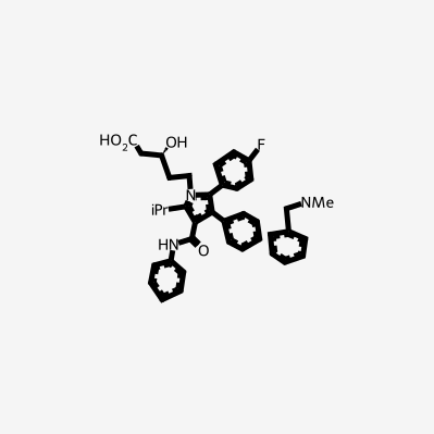 CC(C)c1c(C(=O)Nc2ccccc2)c(-c2ccccc2)c(-c2ccc(F)cc2)n1CC[C@@H](O)CC(=O)O.CNCc1ccccc1